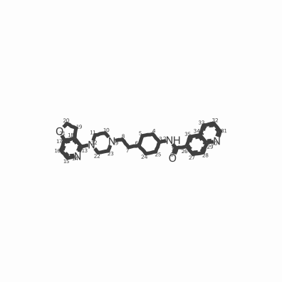 O=C(NC1CCC(CCN2CCN(c3nccc4c3CCO4)CC2)CC1)c1ccc2ncccc2c1